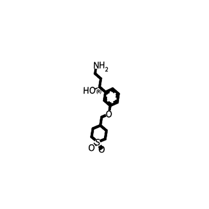 NCC[C@@H](O)c1cccc(OCC2CCS(=O)(=O)CC2)c1